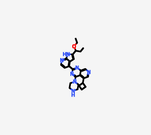 CCOC(CC)c1cc2c(-c3nc(N4CCNCC4)c4c(C5CCC5)cncc4n3)ccnc2[nH]1